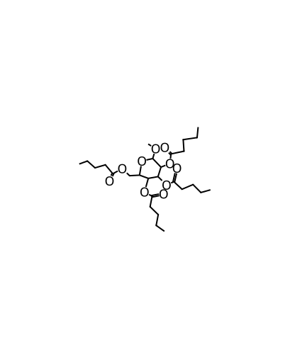 CCCCC(=O)OCC1OC(OC)C(OC(=O)CCCC)C(OC(=O)CCCC)C1OC(=O)CCCC